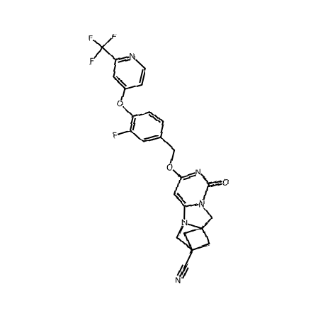 N#CC12CN3c4cc(OCc5ccc(Oc6ccnc(C(F)(F)F)c6)c(F)c5)nc(=O)n4CC3(C1)C2